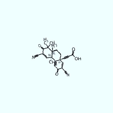 CC1(C)C(=O)C(C#N)=C[C@]2(C)C3=CC(=O)C(C#N)=C[C@@]3(C#CC(=O)O)CC[C@@H]12